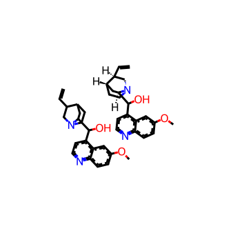 C=CC1CN2CCC1CC2C(O)c1ccnc2ccc(OC)cc12.C=C[C@H]1C[N@]2CC[C@H]1C[C@@H]2C(O)c1ccnc2ccc(OC)cc12